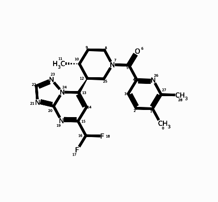 Cc1ccc(C(=O)N2CC[C@@H](C)[C@H](c3cc(C(F)F)nc4ncnn34)C2)nc1C